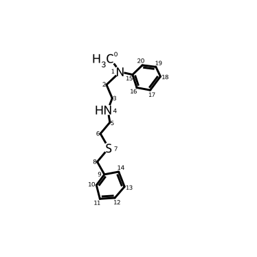 CN(CCNCCSCc1ccccc1)c1ccccc1